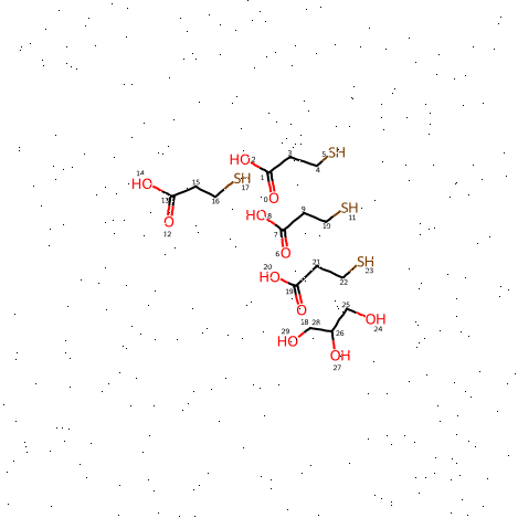 O=C(O)CCS.O=C(O)CCS.O=C(O)CCS.O=C(O)CCS.OCC(O)CO